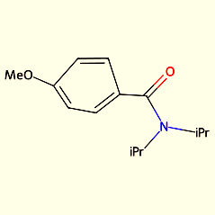 COc1ccc(C(=O)N(C(C)C)C(C)C)cc1